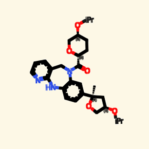 CC(C)O[C@H]1CC[C@H](C(=O)N2Cc3cccnc3Nc3ccc([C@@]4(C)C[C@@H](OC(C)C)CO4)cc32)OC1